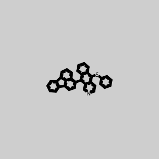 c1ccc(Sc2c3ccccc3c(-c3ccc4c5c(cccc35)-c3ccccc3-4)c3cnccc23)cc1